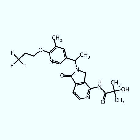 Cc1cc(C(C)N2Cc3c(ccnc3NC(=O)C(C)(C)O)C2=O)cnc1OCCC(F)(F)F